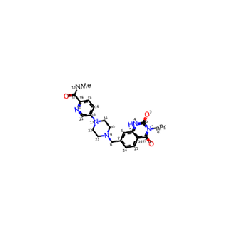 CCCn1c(=O)[nH]c2cc(CN3CCN(c4ccc(C(=O)NC)nc4)CC3)ccc2c1=O